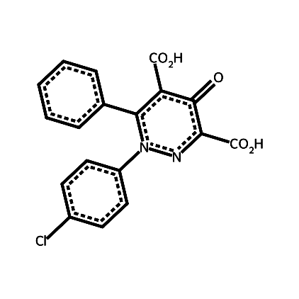 O=C(O)c1nn(-c2ccc(Cl)cc2)c(-c2ccccc2)c(C(=O)O)c1=O